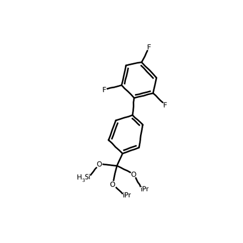 CC(C)OC(O[SiH3])(OC(C)C)c1ccc(-c2c(F)cc(F)cc2F)cc1